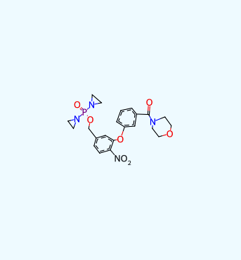 O=C(c1cccc(Oc2cc(COP(=O)(N3CC3)N3CC3)ccc2[N+](=O)[O-])c1)N1CCOCC1